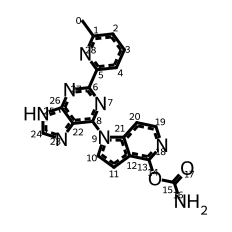 Cc1cccc(-c2nc(-n3ccc4c(OC(N)=O)nccc43)c3nc[nH]c3n2)n1